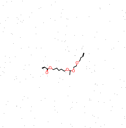 C=CCCOCCOC(C)OCCCCCOC(=O)C=C